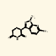 Cn1nc(C2CCC(=O)NC2=O)c2ccc(N)nc21